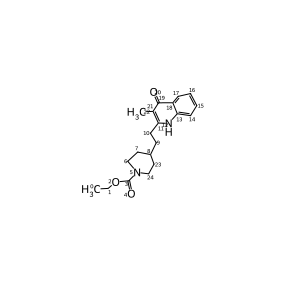 CCOC(=O)N1CCC(CCc2[nH]c3ccccc3c(=O)c2C)CC1